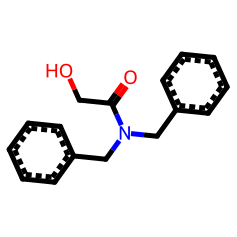 O=C(CO)N(Cc1ccccc1)Cc1ccccc1